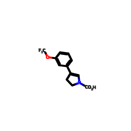 O=C(O)N1C=C(c2cccc(OC(F)(F)F)c2)CC1